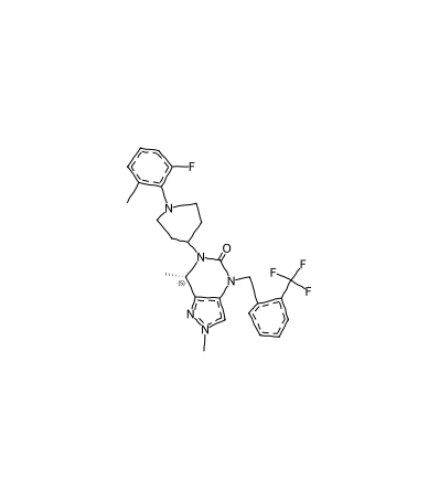 Cc1cccc(F)c1N1CCC(N2C(=O)N(Cc3ccccc3C(F)(F)F)c3cn(C)nc3[C@@H]2C)CC1